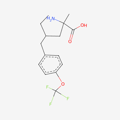 CCC(Cc1ccc(OC(F)(F)F)cc1)CC(C)(N)C(=O)O